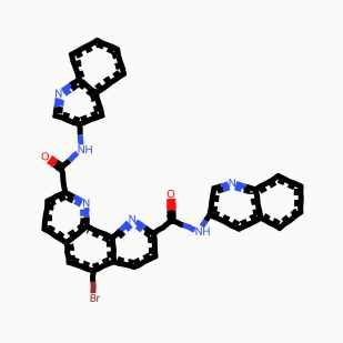 O=C(Nc1cnc2ccccc2c1)c1ccc2cc(Br)c3ccc(C(=O)Nc4cnc5ccccc5c4)nc3c2n1